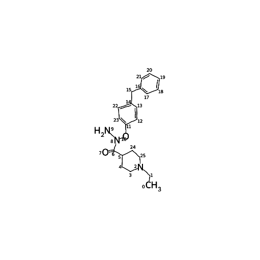 CCN1CCC(C(=O)N(N)Oc2ccc(Cc3ccccc3)cc2)CC1